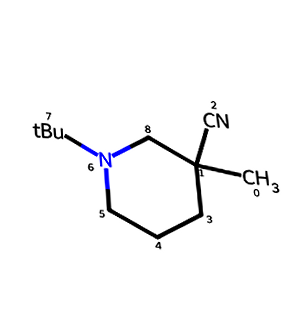 CC1(C#N)CCCN(C(C)(C)C)C1